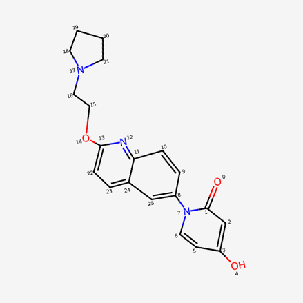 O=c1cc(O)ccn1-c1ccc2nc(OCCN3CCCC3)ccc2c1